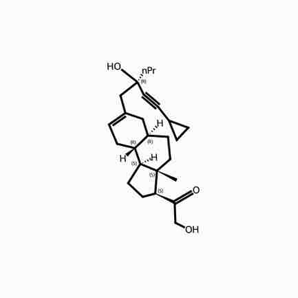 CCC[C@](O)(C#CC1CC1)CC1=CC[C@@H]2[C@H](CC[C@]3(C)[C@@H](C(=O)CO)CC[C@@H]23)C1